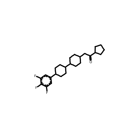 O=C(CC1CCC(C2CCC(c3cc(F)c(F)c(F)c3)CC2)CC1)C1CCCC1